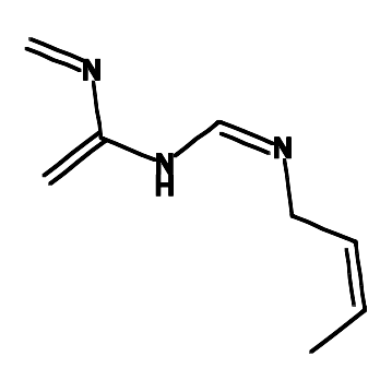 C=NC(=C)N/C=N\C/C=C\C